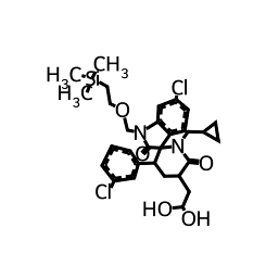 C[Si](C)(C)CCOCN1C(=O)C2(c3ccc(Cl)cc31)C(c1cccc(Cl)c1)CC(CC(O)O)C(=O)N2CC1CC1